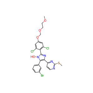 COCCOCOc1cc(Cl)c(-c2nc(-c3ccnc(SC)n3)c(-c3cccc(Br)c3)n2O)c(Cl)c1